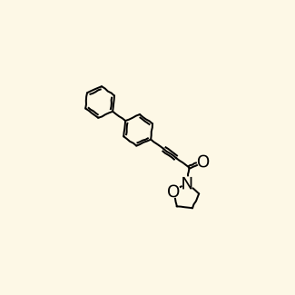 O=C(C#Cc1ccc(-c2ccccc2)cc1)N1CCCO1